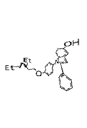 CCN(CC)CCOc1ccc(-n2c(-c3ccccc3)cc3cc(O)ccc32)cc1